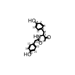 CC(=O)C(Cc1ccc(O)cc1)NC(=O)Cc1ccc(O)cc1